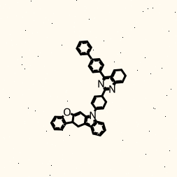 C1=CC(c2nc(-c3ccc(-c4ccccc4)cc3)c3c(n2)=CCCC=3)CC=C1n1c2c(c3ccccc31)CC1C(=C2)Oc2ccccc21